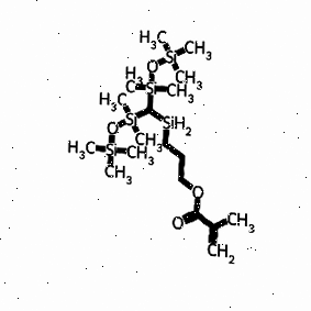 C=C(C)C(=O)OCCC[SiH2]C([Si](C)(C)O[Si](C)(C)C)[Si](C)(C)O[Si](C)(C)C